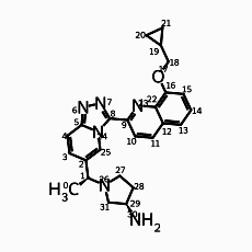 C[C@@H](c1ccc2nnc(-c3ccc4cccc(OCC5CC5)c4n3)n2c1)N1CC[C@@H](N)C1